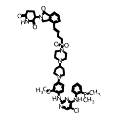 COc1cc(N2CCC(N3CCN(S(=O)(=O)CC/C=C/c4cccc5c4CN(C4CCC(=O)NC4=O)C5=O)CC3)CC2)ccc1Nc1ncc(Cl)c(Nc2ccccc2P(C)C)n1